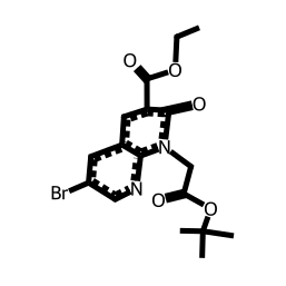 CCOC(=O)c1cc2cc(Br)cnc2n(CC(=O)OC(C)(C)C)c1=O